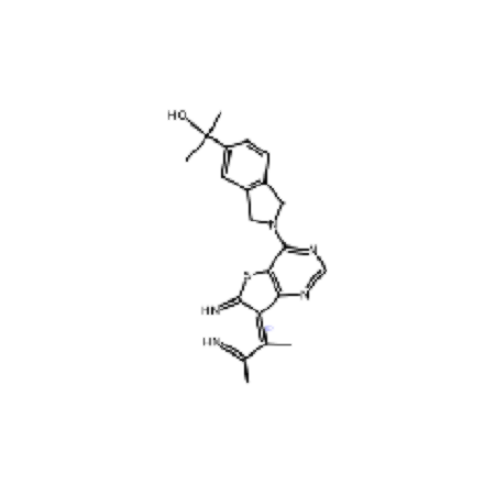 CC(=N)/C(C)=C1\C(=N)Sc2c1ncnc2N1Cc2ccc(C(C)(C)O)cc2C1